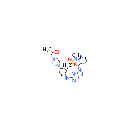 C[C@H](O)CN1CCN(c2ccc(Nc3ncc4ccn(Cc5cccnc5N(C)S(C)(=O)=O)c4n3)cc2)CC1